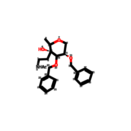 CC(=O)NCC[C@@]1(O)C(C)OC[C@H](OCc2ccccc2)C1OCc1ccccc1